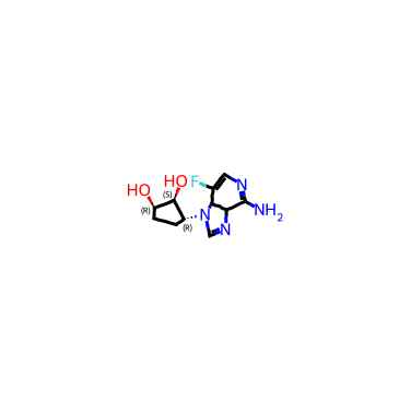 NC1=NC=C(F)C2C1N=CN2[C@@H]1CC[C@@H](O)[C@H]1O